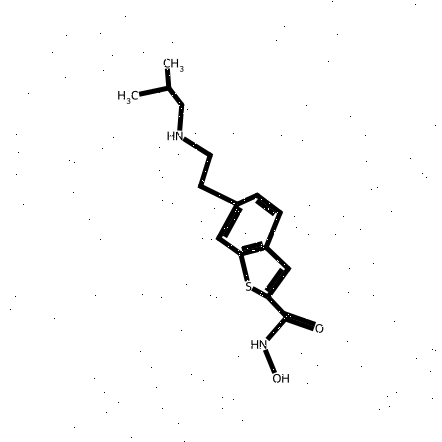 CC(C)CNCCc1ccc2cc(C(=O)NO)sc2c1